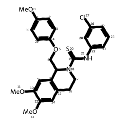 COc1ccc(OCC2c3cc(OC)c(OC)cc3CCN2C(=S)Nc2cccc(Cl)c2)cc1